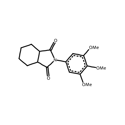 COc1cc(N2C(=O)C3CCCCC3C2=O)cc(OC)c1OC